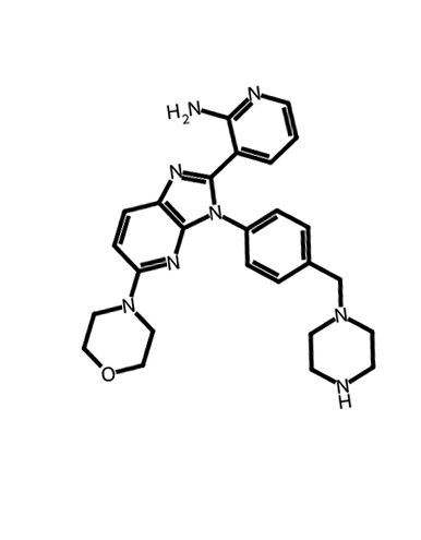 Nc1ncccc1-c1nc2ccc(N3CCOCC3)nc2n1-c1ccc(CN2CCNCC2)cc1